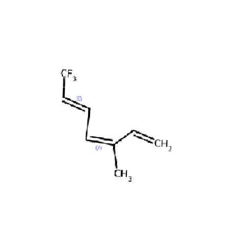 C=C/C(C)=C\C=C\C(F)(F)F